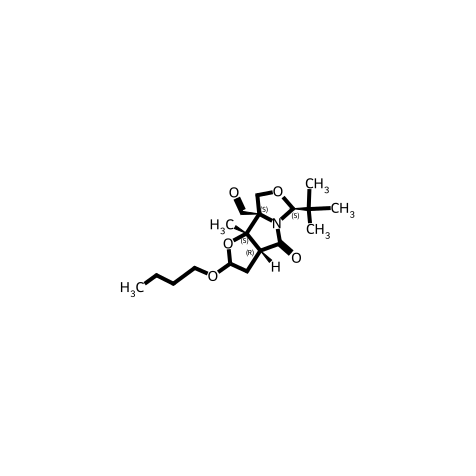 CCCCOC1C[C@H]2C(=O)N3[C@H](C(C)(C)C)OC[C@@]3(C=O)[C@@]2(C)O1